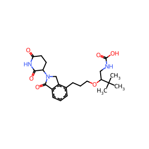 CC(C)(C)C(CNC(=O)O)OCCCc1cccc2c1CN(C1CCC(=O)NC1=O)C2=O